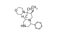 CC=C(CN1CCNCC1c1ccccc1)C(C)(C)N1CCOCC1